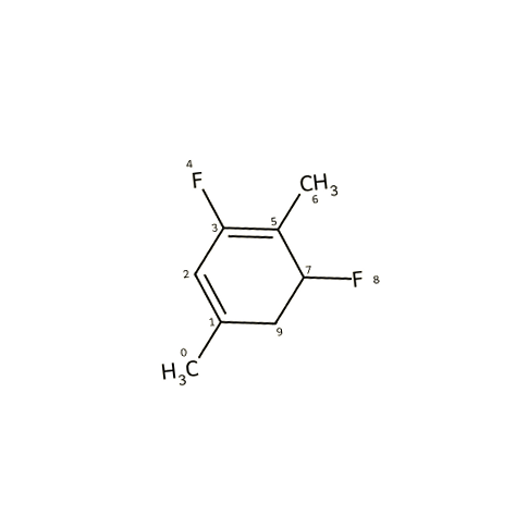 CC1=CC(F)=C(C)C(F)C1